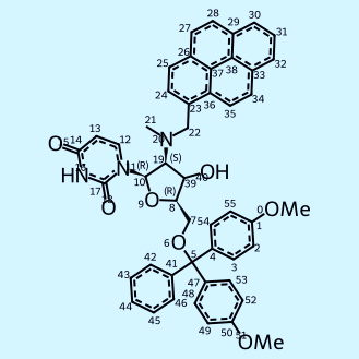 COc1ccc(C(OC[C@H]2O[C@@H](n3ccc(=O)[nH]c3=O)[C@@H](N(C)Cc3ccc4ccc5cccc6ccc3c4c56)C2O)(c2ccccc2)c2ccc(OC)cc2)cc1